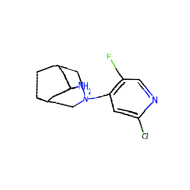 NC1C2CCC1CN(c1cc(Cl)ncc1F)C2